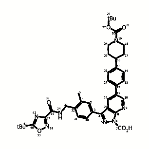 Cc1cc(-c2nn(C(=O)O)c3ncc(-c4ccc(C5CCN(C(=O)OC(C)(C)C)CC5)cc4)cc23)ccc1CNC(=O)c1noc(C(C)(C)C)n1